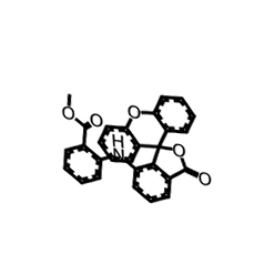 COC(=O)c1ccccc1Nc1cccc2c1C1(OC2=O)c2ccccc2Oc2ccccc21